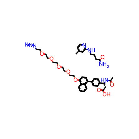 CC(=O)N[C@@H](CC(=O)O)c1ccc(-c2ccc(OCCOCCOCCOCCOCCN=[N+]=[N-])c3ccccc23)cc1.Cc1ccnc(NCCCC(N)=O)c1